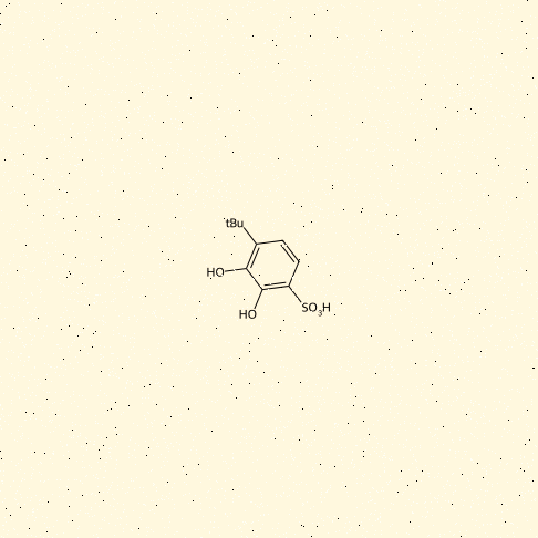 CC(C)(C)c1ccc(S(=O)(=O)O)c(O)c1O